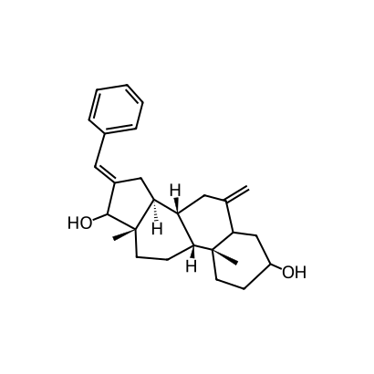 C=C1C[C@@H]2[C@@H](CC[C@]3(C)C(O)C(=Cc4ccccc4)C[C@@H]23)[C@@]2(C)CCC(O)CC12